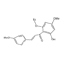 CCOc1cc(OC)cc(O)c1C(=O)/C=C/c1ccc(OC)cc1